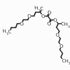 CCCCOCCOCCC(C)OC(=O)C(=O)OC(C)CCOCCOCCCC